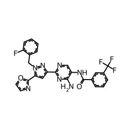 Nc1nc(-c2cc(-c3ncco3)n(Cc3ccccc3F)n2)ncc1NC(=O)c1cccc(C(F)(F)F)c1